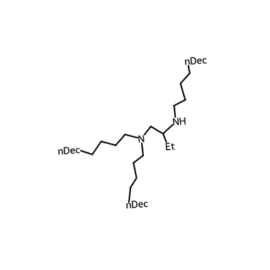 CCCCCCCCCCCCCCNC(CC)CN(CCCCCCCCCCCCCC)CCCCCCCCCCCCCC